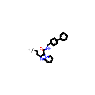 CCCc1nc2ccccn2c1C(=O)NCc1ccc(-c2ccccc2)cc1